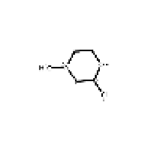 CN1[CH]COC(Cl)C1